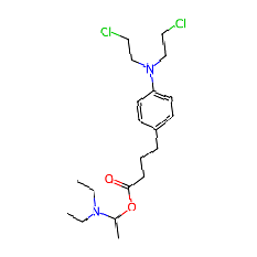 CCN(CC)C(C)OC(=O)CCCc1ccc(N(CCCl)CCCl)cc1